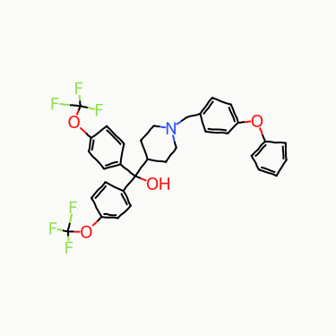 OC(c1ccc(OC(F)(F)F)cc1)(c1ccc(OC(F)(F)F)cc1)C1CCN(Cc2ccc(Oc3ccccc3)cc2)CC1